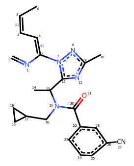 C=N/C(=C\C=C/C)n1nc(C)nc1C(C)N(CC1CC1)C(=O)c1cccc(C#N)c1